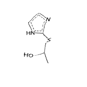 CC(O)Sc1ncc[nH]1